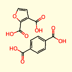 O=C(O)c1ccc(C(=O)O)cc1.O=C(O)c1ccoc1C(=O)O